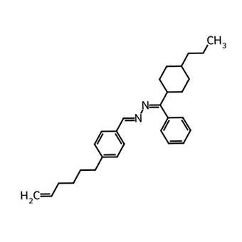 C=CCCCCc1ccc(C=NN=C(c2ccccc2)C2CCC(CCC)CC2)cc1